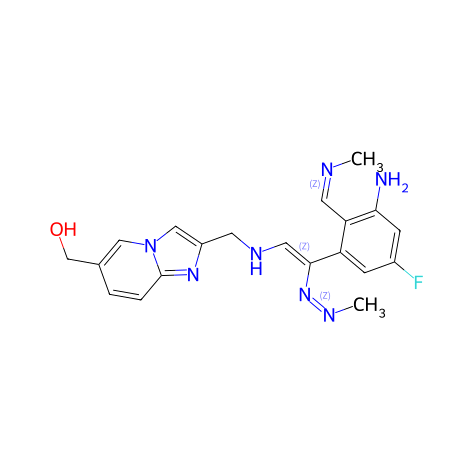 C/N=C\c1c(N)cc(F)cc1C(=C/NCc1cn2cc(CO)ccc2n1)/N=N\C